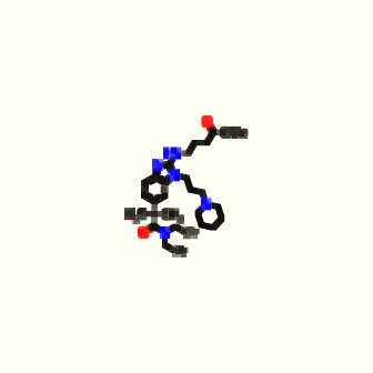 COC(=O)CCCNc1nc2ccc(C(C)(C)C(=O)N(CC(C)C)CC(C)C)cc2n1CCCN1CCCCC1